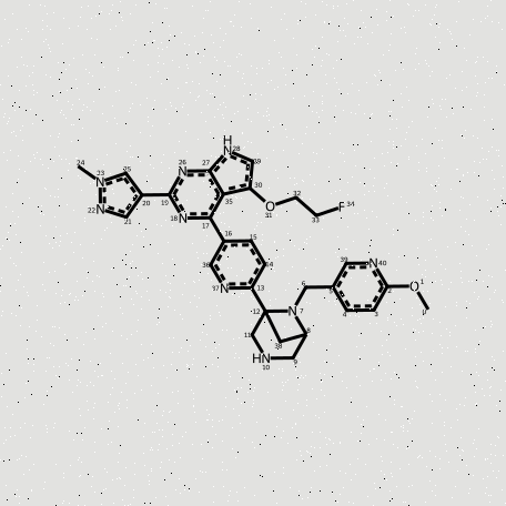 COc1ccc(CN2C3CNCC2(c2ccc(-c4nc(-c5cnn(C)c5)nc5[nH]cc(OCCF)c45)cn2)C3)cn1